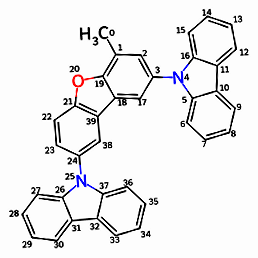 Cc1cc(-n2c3ccccc3c3ccccc32)cc2c1oc1ccc(-n3c4ccccc4c4ccccc43)cc12